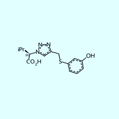 CC(C)[C@H](C(=O)O)n1cc(CSc2cccc(O)c2)nn1